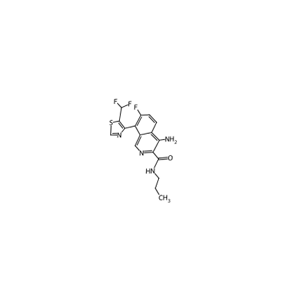 CCCNC(=O)c1ncc2c(-c3ncsc3C(F)F)c(F)ccc2c1N